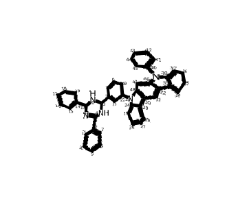 C1=CC(C2NC(c3ccccc3)=NC(c3ccccc3)N2)=CC(n2c3ccccc3c3cc4c5ccccc5n(-c5ccccc5)c4cc32)C1